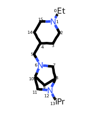 CCN1CCC(CN2CC3CC2CN3C(C)C)CC1